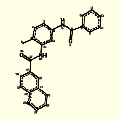 Cc1ccc(NC(=O)c2ccccc2)cc1NC(=O)c1ccc2ncccc2c1